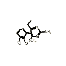 CCc1nc(N)nc(N)c1-c1cccc(Cl)c1Cl